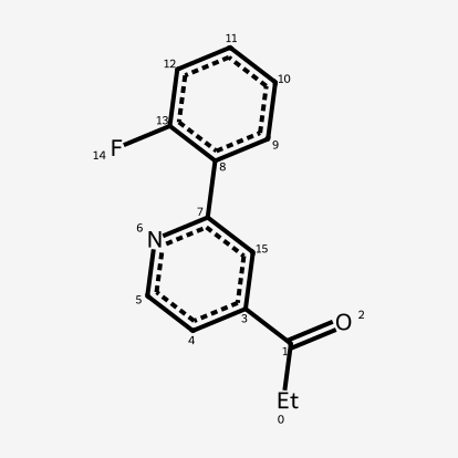 CCC(=O)c1ccnc(-c2ccccc2F)c1